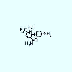 Cl.NC(=O)c1ccc(C(F)(F)F)nc1N1CCC(N)CC1